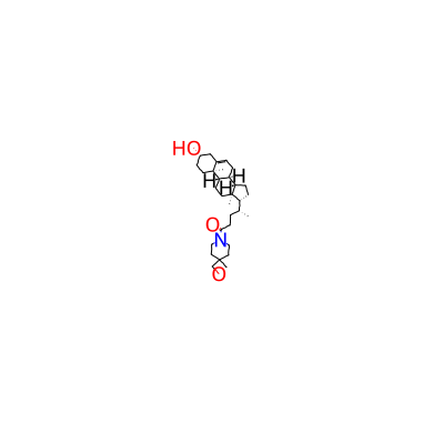 C[C@H](CCC(=O)N1CCC2(CC1)COC2)[C@H]1CC[C@H]2[C@@H]3CC=C4C[C@@H](O)CC[C@]4(C)[C@H]3CC[C@]12C